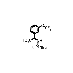 CC(C)(C)[S@+]([O-])NC(C(=O)O)c1cccc(OC(F)(F)F)c1